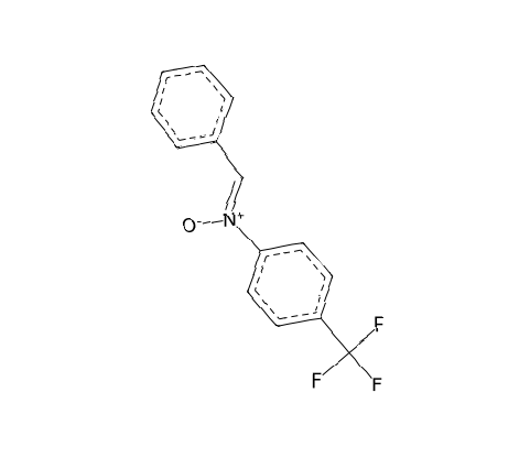 [O-][N+](=Cc1ccccc1)c1ccc(C(F)(F)F)cc1